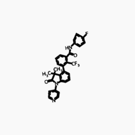 CC1(C)C(=O)N(c2ccncc2)c2cccc(-c3cccc(C(=O)Nc4ccc(F)cc4)c3C(F)(F)F)c21